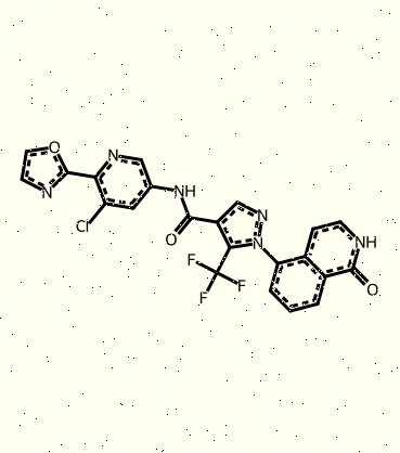 O=C(Nc1cnc(-c2ncco2)c(Cl)c1)c1cnn(-c2cccc3c(=O)[nH]ccc23)c1C(F)(F)F